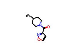 CC(C)C1CCN(C(=O)c2ccon2)CC1